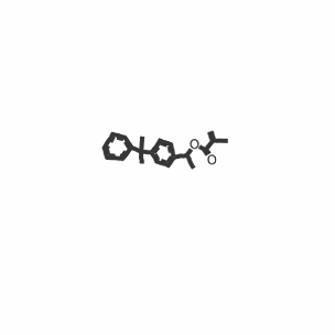 C=C(C)C(=O)OC(C)c1ccc(C(C)(C)c2ccccc2)cc1